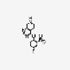 O=[N+]([O-])c1cc(F)ccc1Oc1ncnc2c1CCNC2